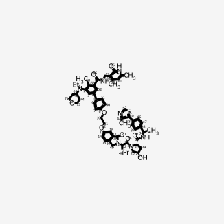 CCN(c1cc(-c2ccc(OCCOc3ccc4c(c3)C(=O)N(C(C(=O)N3C[C@H](O)C[C@H]3C(=O)NC(C)c3ccc(-c5scnc5C)cc3)C(C)C)C4)cc2)cc(C(=O)NCc2c(C)cc(C)[nH]c2=O)c1C)C1CCOCC1